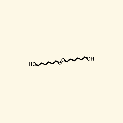 OCCCCCCOOCCCCCCO